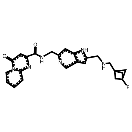 O=C(NCc1cc2[nH]c(CNCC34CC(F)(C3)C4)cc2cn1)c1cc(=O)n2ccccc2n1